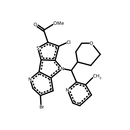 COC(=O)c1sc2c3ncc(Br)cc3n(C(c3ncccc3C)C3CCOCC3)c2c1Cl